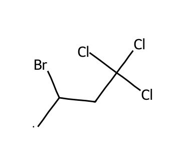 [CH2]C(Br)CC(Cl)(Cl)Cl